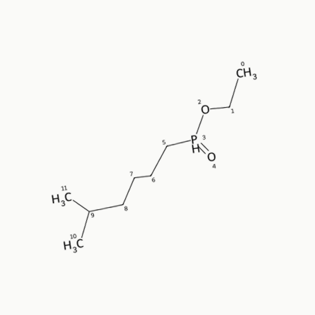 CCO[PH](=O)CCCCC(C)C